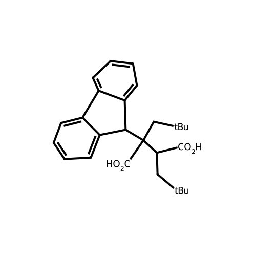 CC(C)(C)CC(C(=O)O)C(CC(C)(C)C)(C(=O)O)C1c2ccccc2-c2ccccc21